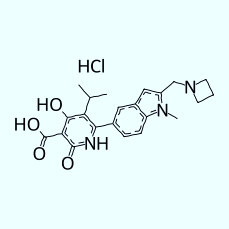 CC(C)c1c(-c2ccc3c(c2)cc(CN2CCC2)n3C)[nH]c(=O)c(C(=O)O)c1O.Cl